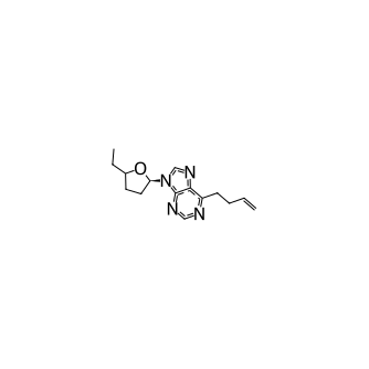 C=CCCc1ncnc2c1ncn2[C@H]1CCC(CC)O1